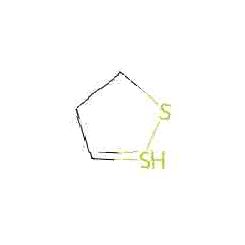 C1=[SH]SCC1